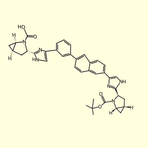 CC(C)(C)OC(=O)N1[C@@H](c2nc(-c3ccc4cc(-c5cccc(-c6c[nH]c([C@@H]7C[C@H]8C[C@H]8N7C(=O)O)n6)c5)ccc4c3)c[nH]2)C[C@@H]2C[C@@H]21